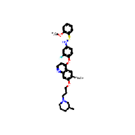 COc1cc2c(Oc3ccc(NSc4ccccc4OC(F)(F)F)cc3F)ccnc2cc1OCCCN1CCCC(C)C1